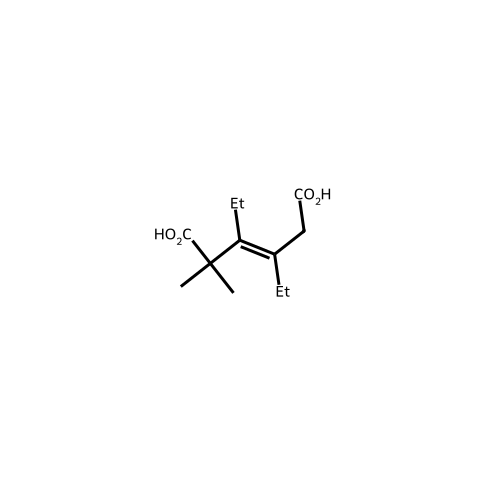 CCC(CC(=O)O)=C(CC)C(C)(C)C(=O)O